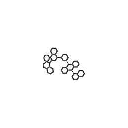 c1cc(-c2c3ccccc3c(-c3cccc4ccccc34)c3ccccc23)cc(-c2cc3c(oc4ccc5ccccc5c43)c3ccccc23)c1